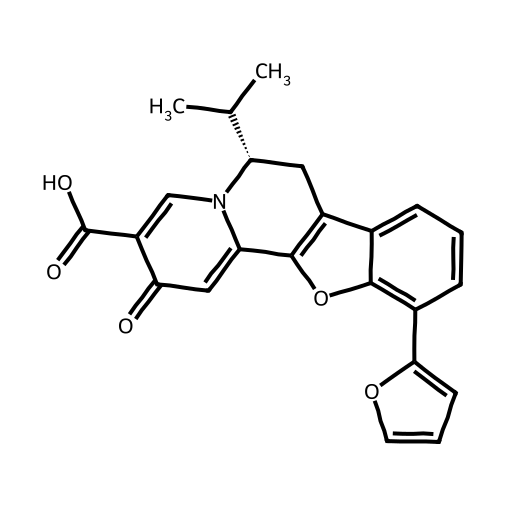 CC(C)[C@@H]1Cc2c(oc3c(-c4ccco4)cccc23)-c2cc(=O)c(C(=O)O)cn21